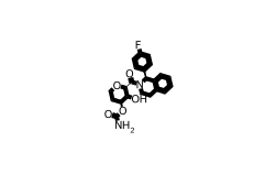 NC(=O)O[C@H]1CCO[C@H](C(=O)N2CCc3ccccc3[C@@H]2c2ccc(F)cc2)C1O